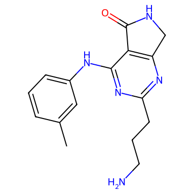 Cc1cccc(Nc2nc(CCCN)nc3c2C(=O)NC3)c1